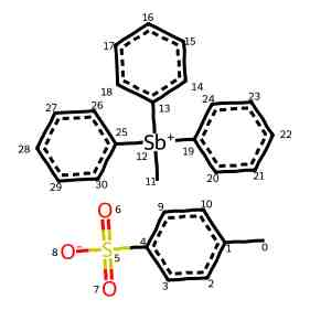 Cc1ccc(S(=O)(=O)[O-])cc1.[CH3][Sb+]([c]1ccccc1)([c]1ccccc1)[c]1ccccc1